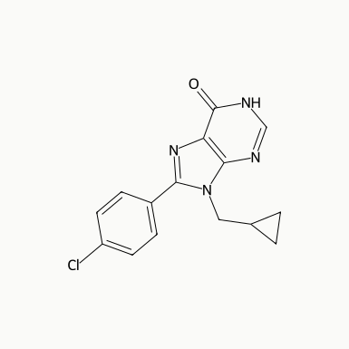 O=c1[nH]cnc2c1nc(-c1ccc(Cl)cc1)n2CC1CC1